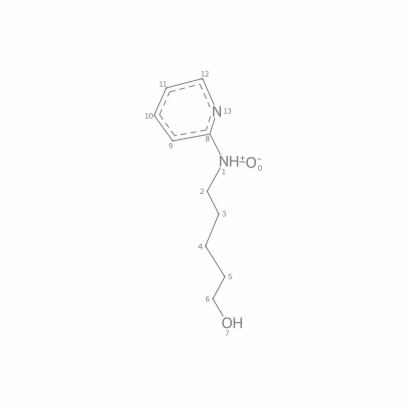 [O-][NH+](CCCCCO)c1ccccn1